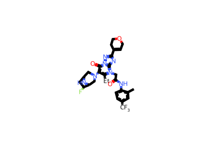 CCc1c(N2CC3CC(F)C(C2)N3)c(=O)n2nc(C3=CCOCC3)nc2n1CC(=O)Nc1ccc(C(F)(F)F)cc1C